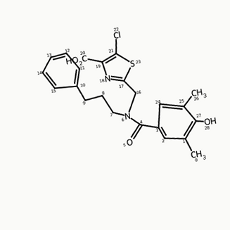 Cc1cc(C(=O)N(CCCc2ccccc2)Cc2nc(C(=O)O)c(Cl)s2)cc(C)c1O